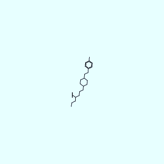 CCCC(I)CCCC1CCC(CCc2ccc(C)cc2)CC1